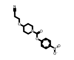 N#CCCOC1CCN(C(=O)Oc2ccc([N+](=O)[O-])cc2)CC1